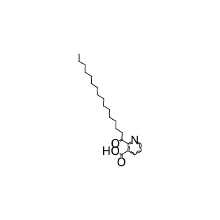 CCCCCCCCCCCCCCCC(=O)c1ncccc1C(=O)O